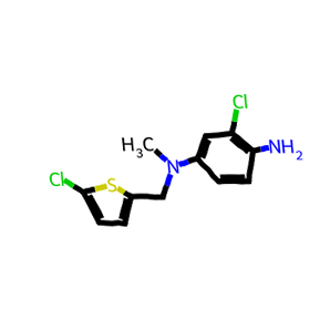 CN(Cc1ccc(Cl)s1)c1ccc(N)c(Cl)c1